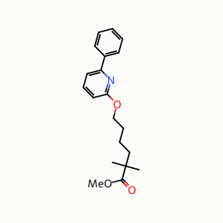 COC(=O)C(C)(C)CCCCOc1cccc(-c2ccccc2)n1